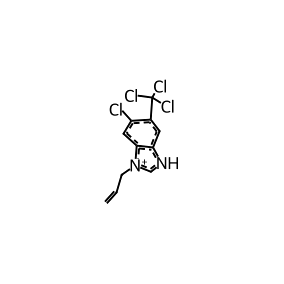 C=CC[n+]1c[nH]c2cc(C(Cl)(Cl)Cl)c(Cl)cc21